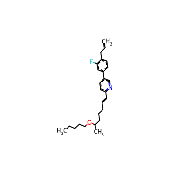 C=CCc1ccc(-c2ccc(C=CCCCC(C)OCCCCC)nc2)cc1F